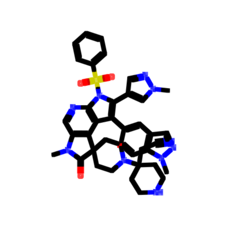 CN1C(=O)C2(CCN(C3(CC#N)CCNCC3)CC2)c2c1cnc1c2c(-c2ccc3c(cnn3C)c2)c(-c2cnn(C)c2)n1S(=O)(=O)c1ccccc1